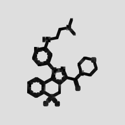 CN(C)CCNc1cc(-n2nc(C(=O)N3CCOCC3)c3c2-c2ccccc2S(=O)(=O)C3)ccn1